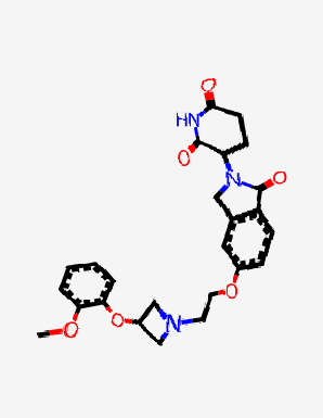 COc1ccccc1OC1CN(CCOc2ccc3c(c2)CN(C2CCC(=O)NC2=O)C3=O)C1